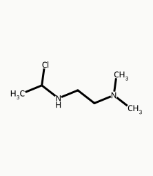 CC(Cl)NCCN(C)C